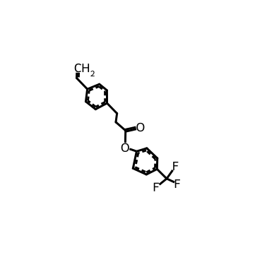 C=Cc1ccc(CCC(=O)Oc2ccc(C(F)(F)F)cc2)cc1